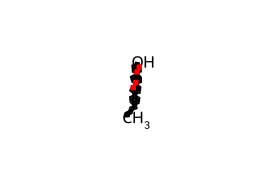 CCCCCC1CCC(C2CCC(c3ccc(-c4ccc(O)cc4)cc3)CC2)CC1